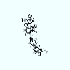 Cn1c(=O)n(C2CCC(=O)NC2=O)c2cccc(CCN3CCN(c4ccc(Cl)c(C(F)(F)F)c4)CC3)c21